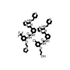 O=C(Nc1cccc(-c2cn3ccnc3c(NCc3ccncc3)n2)c1)Nc1cc(C(F)(F)F)ccc1OCCN1CCCC1.O=C(Nc1cccc(-c2cn3ccnc3c(NCc3ccncc3)n2)c1)Nc1cc(Cl)ccc1OCCCO